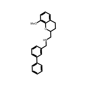 COc1cccc2c1OC(CNCc1cccc(-c3ccccc3)c1)CC2